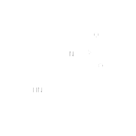 O=S(=O)=NC1CCCNC1